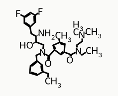 CCc1cccc(CN(C[C@@H](O)[C@@H](N)Cc2cc(F)cc(F)c2)C(=O)c2cc(C)cc(C(=O)N(CC)CCN(C)C)c2)c1